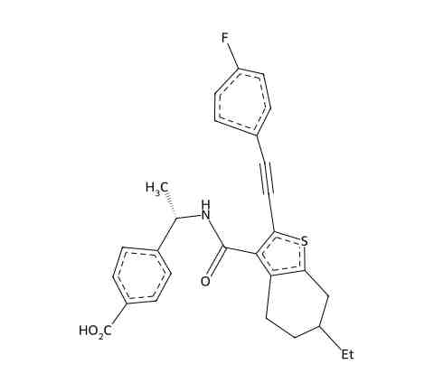 CCC1CCc2c(sc(C#Cc3ccc(F)cc3)c2C(=O)N[C@@H](C)c2ccc(C(=O)O)cc2)C1